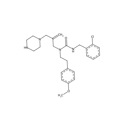 C=C(CN1CCNCC1)CN(CCc1ccc(OC)cc1)C(=O)NCc1ccccc1Cl